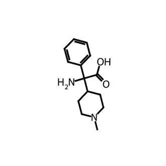 CN1CCC(C(N)(C(=O)O)c2ccccc2)CC1